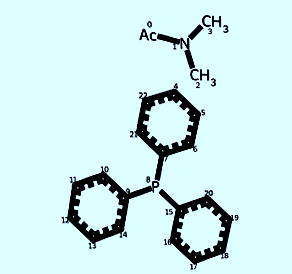 CC(=O)N(C)C.c1ccc(P(c2ccccc2)c2ccccc2)cc1